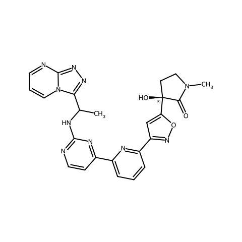 CC(Nc1nccc(-c2cccc(-c3cc([C@]4(O)CCN(C)C4=O)on3)n2)n1)c1nnc2ncccn12